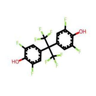 Oc1c(F)cc(C(c2cc(F)c(O)c(F)c2)(C(F)(F)F)C(F)(F)F)cc1F